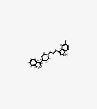 Cc1ccc2[nH]cc(CCCN3CCC(c4noc5ccccc45)CC3)c2c1